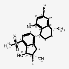 C[C@@H]1CC[C@H](c2ccc(S(C)(=O)=O)c3c2C[C@](F)(C#N)[C@H]3O)c2c(C#N)cc(F)cc21